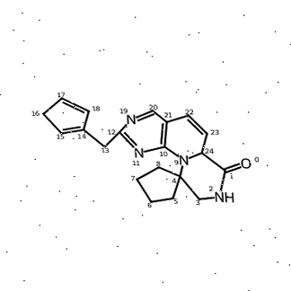 O=C1NCC2(CCCC2)N2c3nc(CC4=CCC=C4)ncc3C=CC12